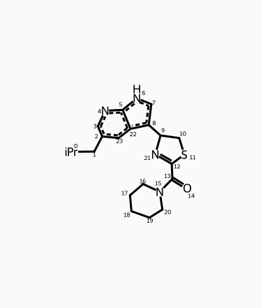 CC(C)Cc1cnc2[nH]cc(C3CSC(C(=O)N4CCCCC4)=N3)c2c1